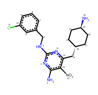 Nc1nc(NCc2cccc(Cl)c2)nc(C[C@H]2CC[C@H](N)CC2)c1[N+](=O)[O-]